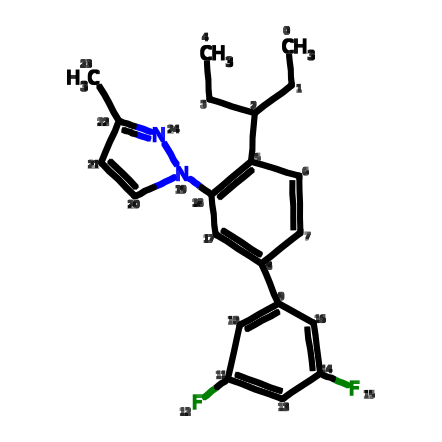 CCC(CC)c1ccc(-c2cc(F)cc(F)c2)cc1-n1ccc(C)n1